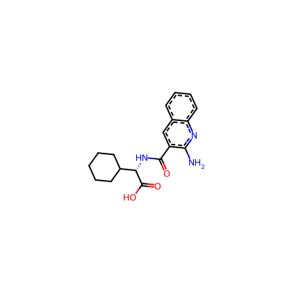 Nc1nc2ccccc2cc1C(=O)N[C@H](C(=O)O)C1CCCCC1